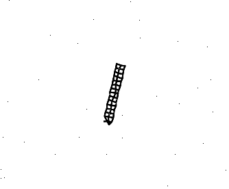 CC12C3C1C1C4C5C6C7C8C9C%10C%11C%12C%13C%14C%15CC%16CC%17C%18C%19C%20C%21C%22C%23C%24C%25C%26C%27C%28C3C12C%284C%275C%266C%257C%248C%239C%22%10C%21%11C%20%12C%19%13C%18%14C%16%17%15